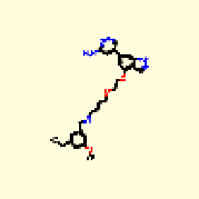 N#CCc1cc(CNCCCCOCCOc2cc(-c3cnnc(N)c3)cc3[nH]ncc23)cc(OC(F)(F)F)c1